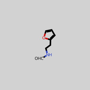 O=CNCCc1ccco1